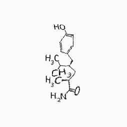 CC(C)[C@@H](Cc1ccc(O)cc1)C[C@H](C)C(N)=O